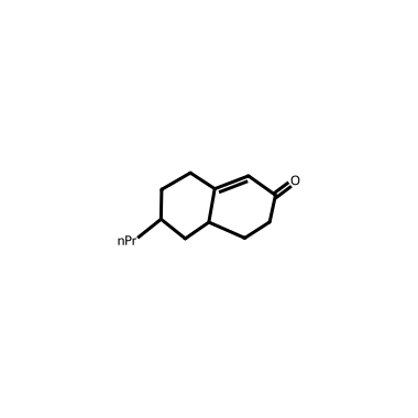 CCCC1CCC2=CC(=O)CCC2C1